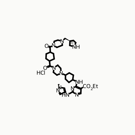 CCOC(=O)c1cnc(Nc2cnn(C)c2)nc1NC1CCC(N2CCN(C(=O)C3CCC(C(=O)N4CCN(C[C@H]5CCNC5)CC4)CC3)CC2)CC1.Cl